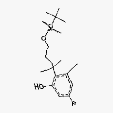 Cc1cc(Br)cc(O)c1C(C)(C)CCO[Si](C)(C)C(C)(C)C